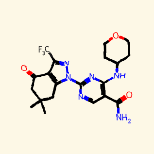 CC1(C)CC(=O)c2c(C(F)(F)F)nn(-c3ncc(C(N)=O)c(NC4CCOCC4)n3)c2C1